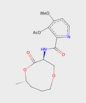 COc1ccnc(C(=O)N[C@H]2COCCC[C@H](C)OC2=O)c1OC(C)=O